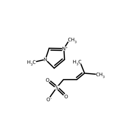 CC(C)=CCS(=O)(=O)[O-].Cn1cc[n+](C)c1